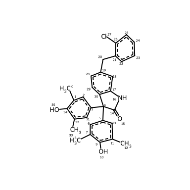 Cc1cc(C2(c3cc(C)c(O)c(C)c3)C(=O)Nc3cc(Cc4ccccc4Cl)ccc32)cc(C)c1O